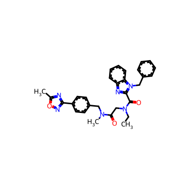 CCN(CC(=O)N(C)Cc1ccc(-c2noc(C)n2)cc1)C(=O)c1nc2ccccc2n1Cc1ccccc1